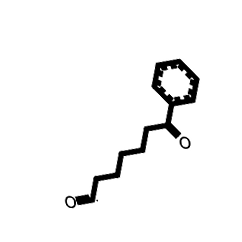 O=[C]CCCCCC(=O)c1ccccc1